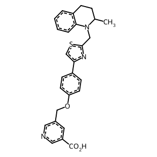 CC1CCc2ccccc2N1Cc1nc(-c2ccc(OCc3cncc(C(=O)O)c3)cc2)cs1